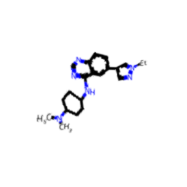 CCn1cc(-c2ccc3ncnc(NC4CCC(N(C)C)CC4)c3c2)cn1